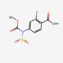 COC(=O)c1ccc(N(C(=O)OC(C)(C)C)[SH](=O)=O)cc1Cl